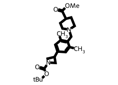 COC(=O)C1CCN(Cc2c(C)cc(C3CN(C(=O)OC(C)(C)C)C3)cc2C)CC1